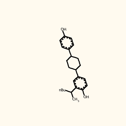 CCCCC(C)c1cc(C2CCC(c3ccc(O)cc3)CC2)ccc1O